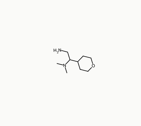 CN(C)C(CN)C1CCOCC1